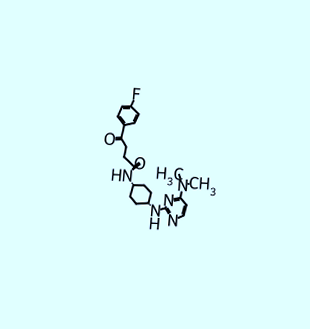 CN(C)c1ccnc(N[C@H]2CC[C@@H](NC(=O)CCC(=O)c3ccc(F)cc3)CC2)n1